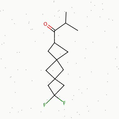 CC(C)C(=O)C1CC2(C1)CC1(CC(F)(F)C1)C2